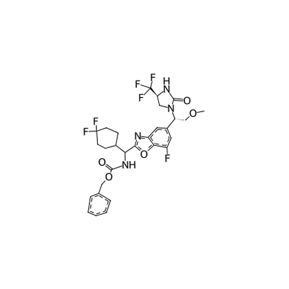 COC[C@H](c1cc(F)c2oc(C(NC(=O)OCc3ccccc3)C3CCC(F)(F)CC3)nc2c1)N1C[C@@H](C(F)(F)F)NC1=O